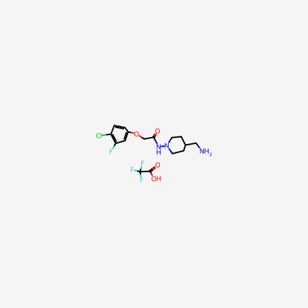 NCC1CCN(NC(=O)COc2ccc(Cl)c(F)c2)CC1.O=C(O)C(F)(F)F